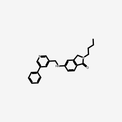 CCCCN1Cc2cc(NCc3cncc(-c4ccccc4)c3)ccc2C1=O